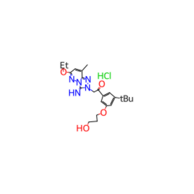 CCOc1cc(C)c2nn(CC(=O)c3cc(OCCCO)cc(C(C)(C)C)c3)c(=N)n2n1.Cl